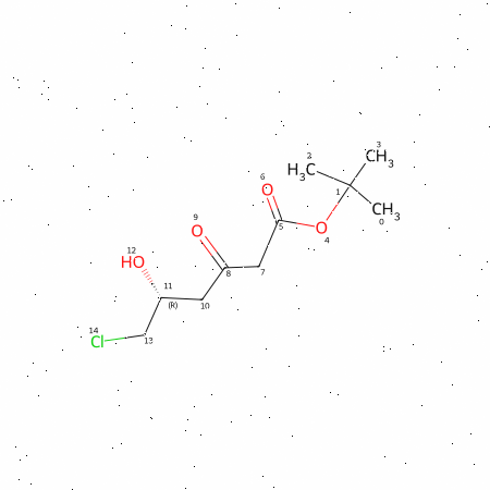 CC(C)(C)OC(=O)CC(=O)C[C@@H](O)CCl